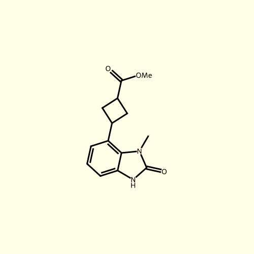 COC(=O)C1CC(c2cccc3[nH]c(=O)n(C)c23)C1